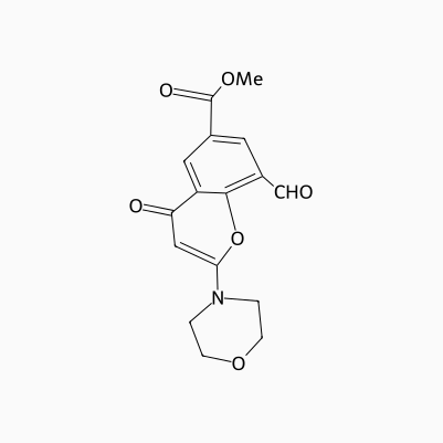 COC(=O)c1cc(C=O)c2oc(N3CCOCC3)cc(=O)c2c1